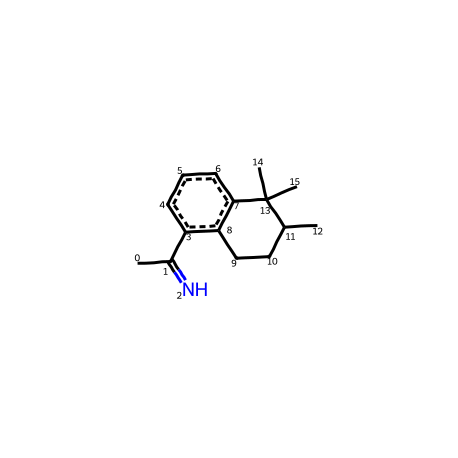 CC(=N)c1cccc2c1CCC(C)C2(C)C